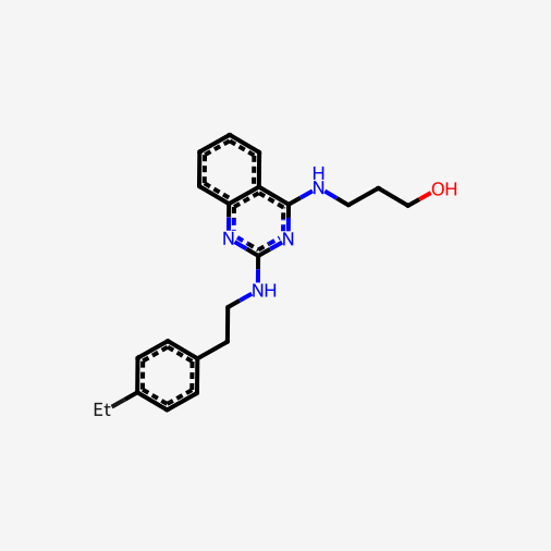 CCc1ccc(CCNc2nc(NCCCO)c3ccccc3n2)cc1